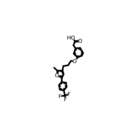 Cc1oc(-c2ccc(C(F)(F)F)cc2)cc1CCCOc1cccc(CC(=O)O)c1